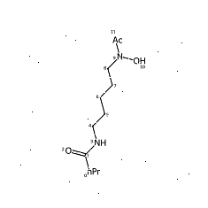 CCCC(=O)NCCCCCN(O)C(C)=O